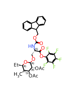 CC[C@H]1O[C@@H](OC[C@H](NC(=O)OCC2c3ccccc3-c3ccccc32)C(=O)Oc2c(F)c(F)c(F)c(F)c2F)[C@H](OC(C)=O)[C@@H](OC(C)=O)[C@@H]1C